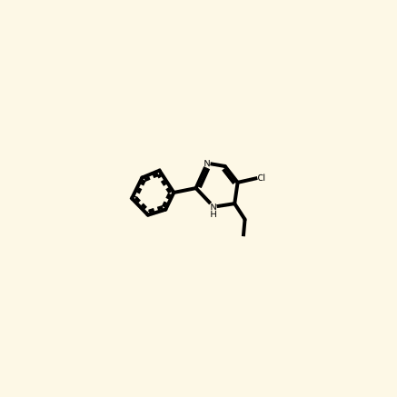 CCC1NC(c2ccccc2)=NC=C1Cl